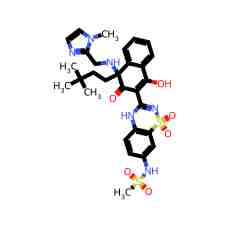 Cn1ccnc1CNC1(CCC(C)(C)C)C(=O)C(C2=NS(=O)(=O)c3cc(NS(C)(=O)=O)ccc3N2)=C(O)c2ccccc21